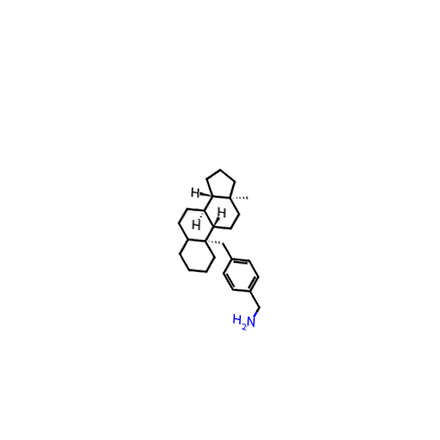 C[C@@]12CCC[C@H]1[C@@H]1CCC3CCCC[C@]3(Cc3ccc(CN)cc3)[C@H]1CC2